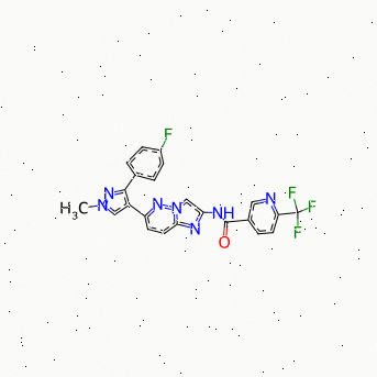 Cn1cc(-c2ccc3nc(NC(=O)c4ccc(C(F)(F)F)nc4)cn3n2)c(-c2ccc(F)cc2)n1